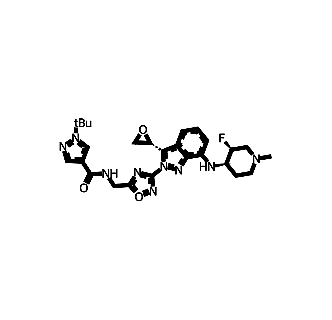 CN1CC[C@@H](Nc2cccc3c([C@@H]4CO4)n(-c4noc(CNC(=O)c5cnn(C(C)(C)C)c5)n4)nc23)[C@@H](F)C1